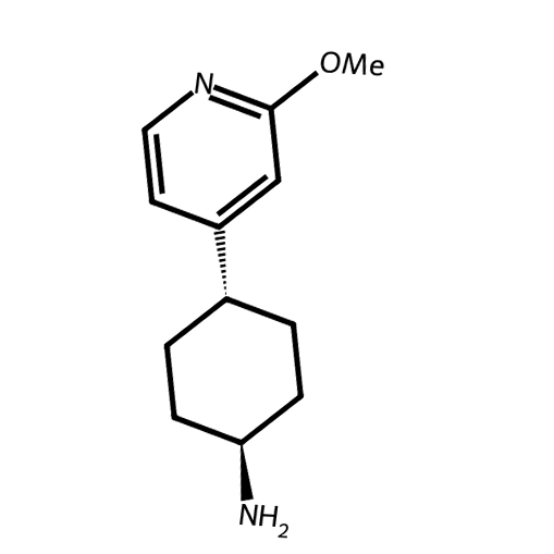 COc1cc([C@H]2CC[C@H](N)CC2)ccn1